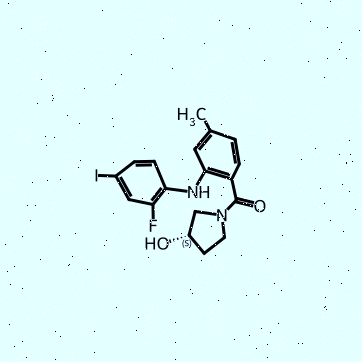 Cc1ccc(C(=O)N2CC[C@H](O)C2)c(Nc2ccc(I)cc2F)c1